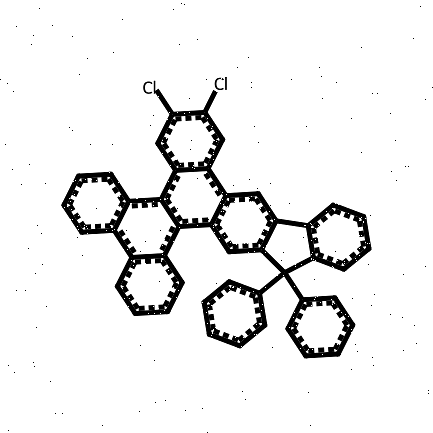 Clc1cc2c3cc4c(cc3c3c5ccccc5c5ccccc5c3c2cc1Cl)C(c1ccccc1)(c1ccccc1)c1ccccc1-4